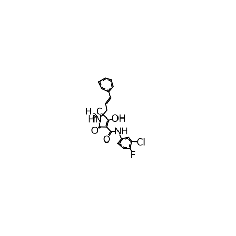 CC1(C/C=C/c2ccccc2)NC(=O)C(C(=O)Nc2ccc(F)c(Cl)c2)=C1O